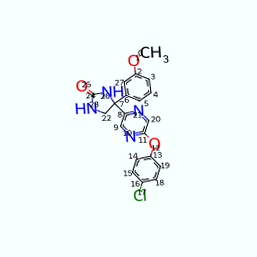 COc1cccc(C2(c3cnc(Oc4ccc(Cl)cc4)cn3)CNC(=O)N2)c1